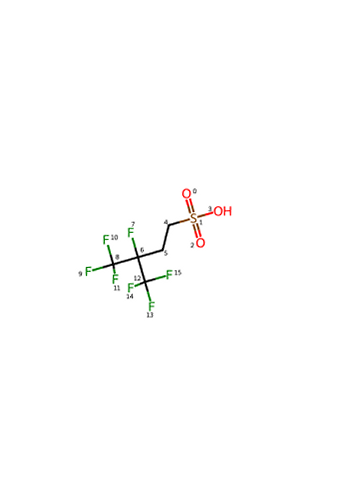 O=S(=O)(O)CCC(F)(C(F)(F)F)C(F)(F)F